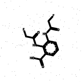 O=C(CF)Nc1cccc(C(=O)O)c1NC(=O)CF